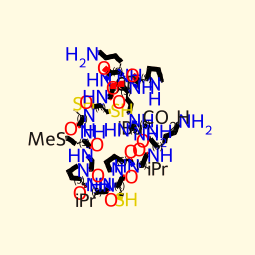 CC[C@H](C)[C@H](NC(=O)[C@H](CCCCN)NC(=O)[C@@H](NC(=O)[C@@H]1CCCN1C(=O)[C@H](CS)NC(=O)[C@@H](NC(=O)[C@@H]1CCCN1C(=O)CNC(=O)[C@H](CCSC)NC(=O)[C@H](CS)NC(=O)[C@H](CS)NC(=O)[C@H](CC(C)C)NC(=O)[C@H](CCCCN)NC(=O)[C@H](CCCNC(=N)N)NC(=O)[C@@H]1CCCN1)C(C)C)C(C)C)C(=O)O